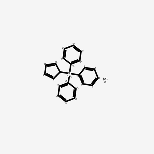 C1=CC([PH](c2ccccc2)(c2ccccc2)c2ccccc2)C=C1.[Ru]